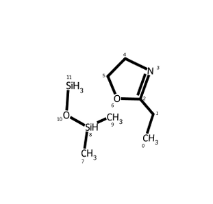 CCC1=NCCO1.C[SiH](C)O[SiH3]